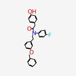 O=C(Cc1ccc(O)cc1)N(CCc1cccc(OCc2ccccc2)c1)c1ccc(F)cc1